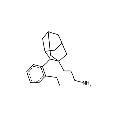 CCc1ccccc1C1C2CC3CC(C2)CC1(CCCN)C3